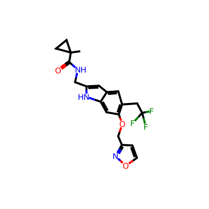 CC1(C(=O)NCc2cc3cc(CC(F)(F)F)c(OCc4ccon4)cc3[nH]2)CC1